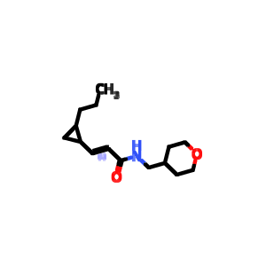 CCCC1CC1/C=C/C(=O)NCC1CCOCC1